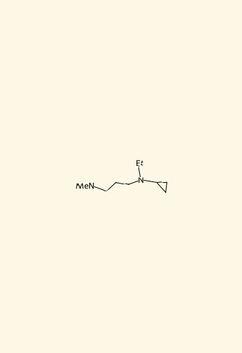 CCN(CCCNC)C1CC1